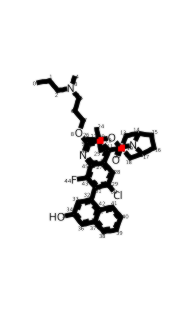 CCCN(C)CCCOc1nc(N2CC3CCC(C2)N3C(=O)OC(C)(C)C)c2cc(Cl)c(-c3cc(O)cc4ccccc34)c(F)c2n1